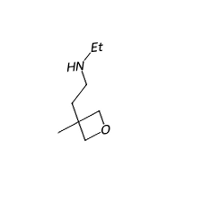 CCNCCC1(C)COC1